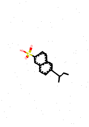 CCC(C)c1ccc2cc(S(=O)(=O)O)ccc2c1